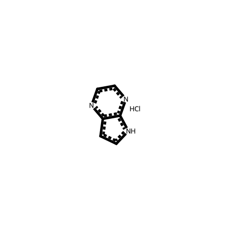 Cl.c1cnc2[nH]ccc2n1